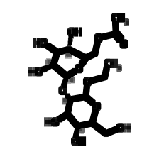 CCOC1OC(CO)[C@@H](O)C(O)[C@@H]1O[C@@H]1OC(COC(C)=O)[C@@H](O)C(O)[C@@H]1O